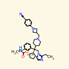 CCc1nccn1CC(c1cccc(Cl)c1)(C1CCN(CC2CN(c3ccc(C#N)cc3)C2)CC1)[C@H]1CCC[C@@H]1OC(=O)NC